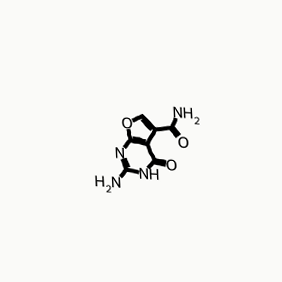 NC(=O)c1coc2nc(N)[nH]c(=O)c12